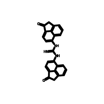 N=C(Nc1ccc2c3c(cccc13)CC2=O)Nc1ccc2c3c(cccc13)CC2=O